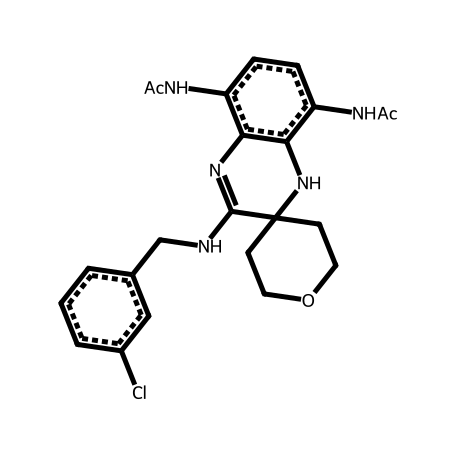 CC(=O)Nc1ccc(NC(C)=O)c2c1N=C(NCc1cccc(Cl)c1)C1(CCOCC1)N2